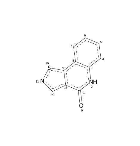 O=c1[nH]c2ccccc2c2sncc12